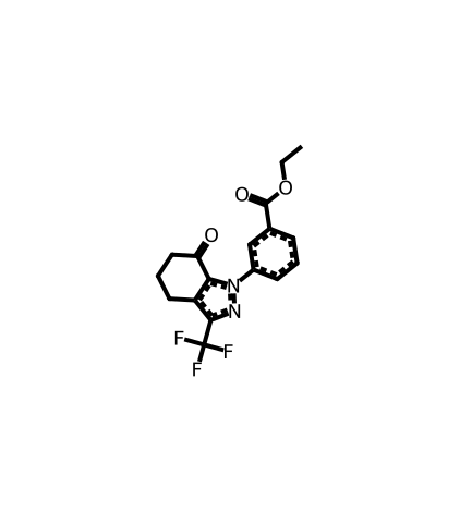 CCOC(=O)c1cccc(-n2nc(C(F)(F)F)c3c2C(=O)CCC3)c1